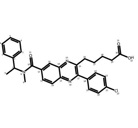 CC(c1ccccc1)N(C)C(=O)c1ccc2nc(-c3ccc(Cl)cc3)c(CCCCC(=O)O)nc2c1